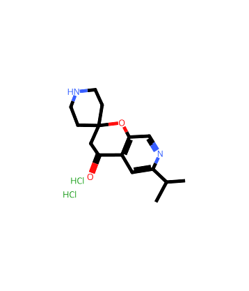 CC(C)c1cc2c(cn1)OC1(CCNCC1)CC2=O.Cl.Cl